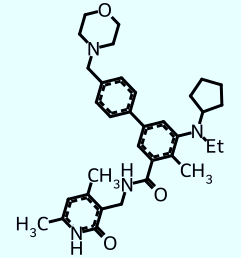 CCN(c1cc(-c2ccc(CN3CCOCC3)cc2)cc(C(=O)NCc2c(C)cc(C)[nH]c2=O)c1C)C1CCCC1